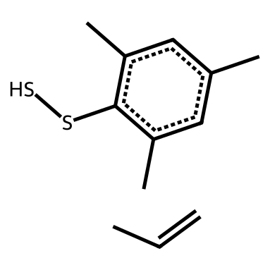 C=CC.Cc1cc(C)c(SS)c(C)c1